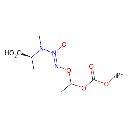 CC(C)OC(=O)OC(C)ON=[N+]([O-])N(C)[C@@H](C)C(=O)O